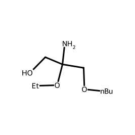 CCCCOCC(N)(CO)OCC